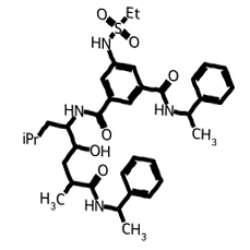 CCS(=O)(=O)Nc1cc(C(=O)NC(C)c2ccccc2)cc(C(=O)NC(CC(C)C)C(O)CC(C)C(=O)NC(C)c2ccccc2)c1